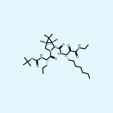 CCCCCCC[C@H](NC(=O)[C@@H]1[C@@H]2[C@H](CN1C(=O)[C@H](CCC)NC(=O)OC(C)(C)C)C2(C)C)C(=O)C(=O)NCC